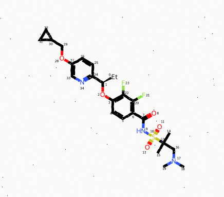 CC[C@@H](Oc1ccc(C(=O)NS(=O)(=O)C(C)(C)CN(C)C)c(F)c1F)c1ccc(OCC2CC2)cn1